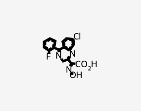 O=C(O)/C(=N\O)C1=Nc2cc(Cl)ccc2C(c2ccccc2F)=NC1